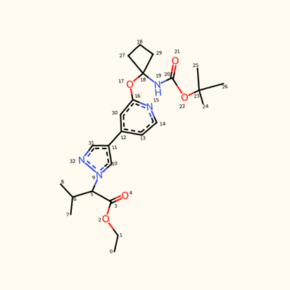 CCOC(=O)C(C(C)C)n1cc(-c2ccnc(OC3(NC(=O)OC(C)(C)C)CCC3)c2)cn1